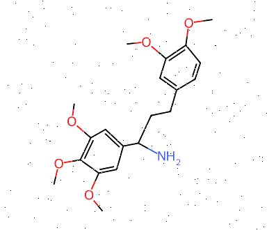 COc1ccc(CCC(N)c2cc(OC)c(OC)c(OC)c2)cc1OC